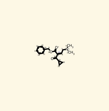 CN(C)C/C=C(\C(=O)OCc1ccccc1)C(=O)C1CC1